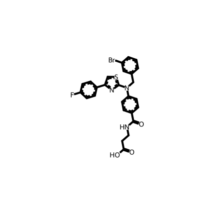 O=C(O)CCNC(=O)c1ccc(N(Cc2cccc(Br)c2)c2nc(-c3ccc(F)cc3)cs2)cc1